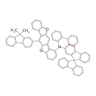 CC1(C)c2ccccc2-c2ccc(-c3c4oc5cccc(N(c6ccc7c(c6)C6(c8ccccc8-c8ccccc86)c6ccccc6-7)c6ccccc6-c6ccccc6)c5c4cc4oc5ccccc5c34)cc21